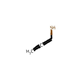 C=C=CS